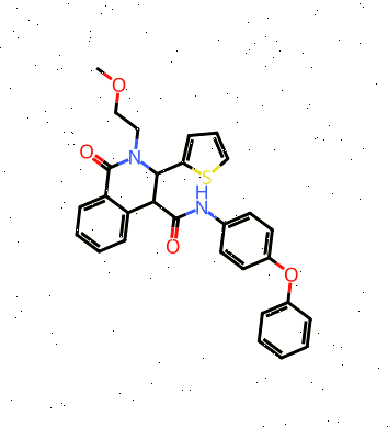 COCCN1C(=O)c2ccccc2C(C(=O)Nc2ccc(Oc3ccccc3)cc2)C1c1cccs1